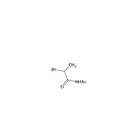 CC(=O)NC(=O)C(C)C(C)C